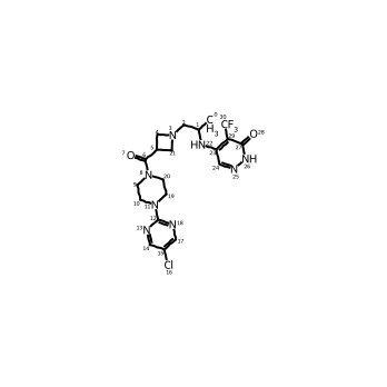 CC(CN1CC(C(=O)N2CCN(c3ncc(Cl)cn3)CC2)C1)Nc1cn[nH]c(=O)c1C(F)(F)F